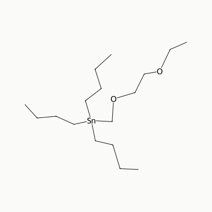 CCC[CH2][Sn]([CH2]CCC)([CH2]CCC)[CH2]OCCOCC